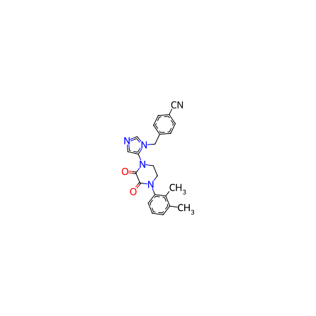 Cc1cccc(N2CCN(c3cncn3Cc3ccc(C#N)cc3)C(=O)C2=O)c1C